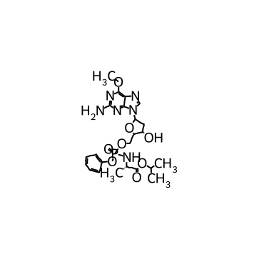 COc1nc(N)nc2c1ncn2C1C[C@H](O)C(COP(=O)(N[C@@H](C)C(=O)OC(C)C)Oc2ccccc2)O1